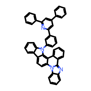 c1ccc(-c2cc(-c3ccccc3)nc(-c3cccc(-n4c5ccccc5c5ccc6c(c7ccccc7c7nc8ccccc8n67)c54)c3)c2)cc1